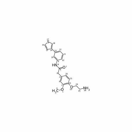 COc1cc(CC(=O)Nc2cccc(-c3ccsc3)c2)ccc1OCCN